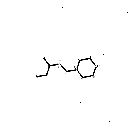 CCC(C)NCN1CCOCC1